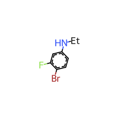 CCNc1ccc(Br)c(F)c1